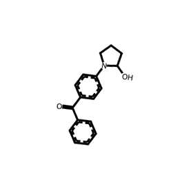 O=C(c1ccccc1)c1ccc(N2CCCC2O)cc1